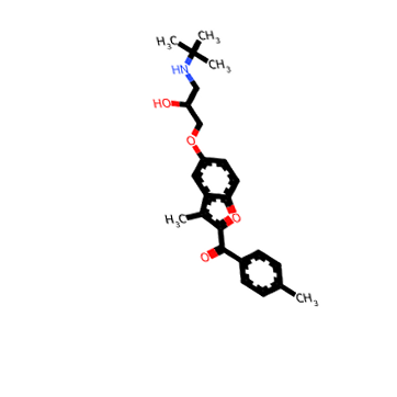 Cc1ccc(C(=O)c2oc3ccc(OCC(O)CNC(C)(C)C)cc3c2C)cc1